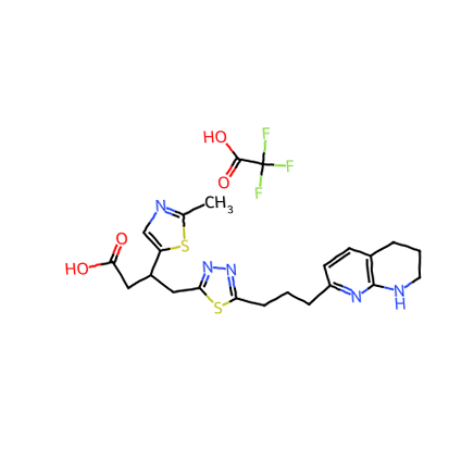 Cc1ncc(C(CC(=O)O)Cc2nnc(CCCc3ccc4c(n3)NCCC4)s2)s1.O=C(O)C(F)(F)F